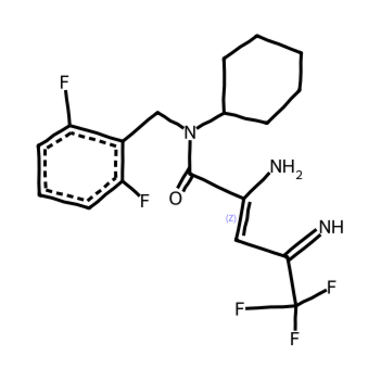 N=C(/C=C(\N)C(=O)N(Cc1c(F)cccc1F)C1CCCCC1)C(F)(F)F